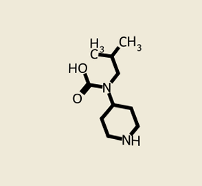 CC(C)CN(C(=O)O)C1CCNCC1